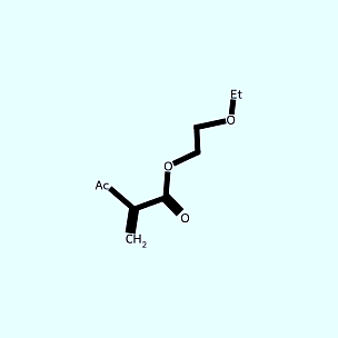 C=C(C(C)=O)C(=O)OCCOCC